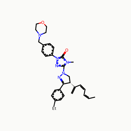 C=C(/C=C\C=C/C)[C@H]1CN(c2nn(-c3ccc(CN4CCOCC4)cc3)c(=O)n2C)N=C1c1ccc(CC)cc1